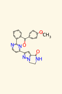 COc1ccc(C(=O)c2ccccc2-c2nccc(-c3cc4n(n3)CCNC4=O)n2)cc1